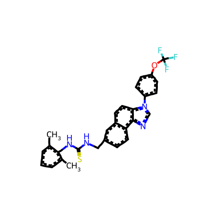 Cc1cccc(C)c1NC(=S)NCc1ccc2c(ccc3c2ncn3-c2ccc(OC(F)(F)F)cc2)c1